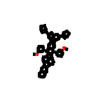 COc1cccc(-c2c3cc4c(cc3c(-c3cccc(OC)c3)c3c5ccc6c7c(ccc(c23)c75)-c2cc3ccccc3cc2-6)c2cc(C3CC5CCC3C5)cc3cc(C5CC6CCC5C6)cc4c32)c1